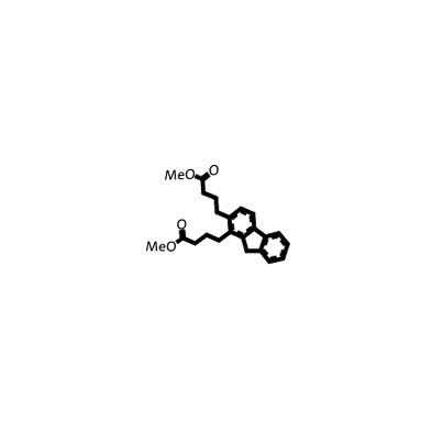 COC(=O)CCCc1ccc2c(c1CCCC(=O)OC)Cc1ccccc1-2